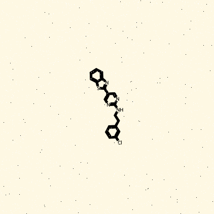 Clc1cccc(CCNc2n[c]c(-c3nc4ccccc4s3)cn2)c1